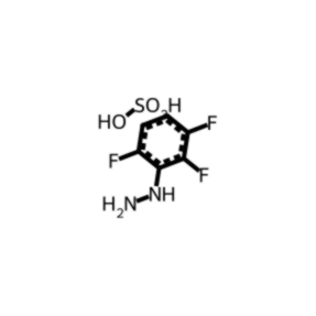 NNc1c(F)ccc(F)c1F.O=S(=O)(O)O